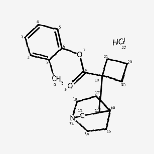 Cc1ccccc1OC(=O)C1(C2CN3CCC2CC3)CCC1.Cl